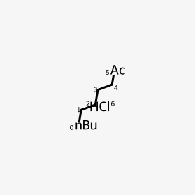 CCCCCCCCC(C)=O.Cl